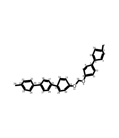 Cc1ccc(-c2ccc(OCOc3ccc(-c4ccc(-c5ccc(C)cc5)cc4)cc3)cc2)cc1